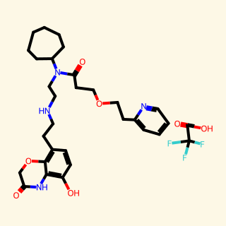 O=C(O)C(F)(F)F.O=C1COc2c(CCNCCN(C(=O)CCOCCc3ccccn3)C3CCCCCC3)ccc(O)c2N1